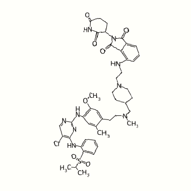 COc1cc(CCN(C)CC2CCN(CCNc3cccc4c3C(=O)N(C3CCC(=O)NC3=O)C4=O)CC2)c(C)cc1Nc1ncc(Cl)c(Nc2ccccc2S(=O)(=O)C(C)C)n1